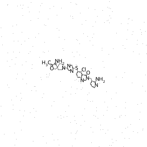 C[C@@H]1OCC2(CCN(c3cnc(Sc4ccc5ncn(Cc6cccnc6N)c(=O)c5c4Cl)cn3)CC2)[C@@H]1N